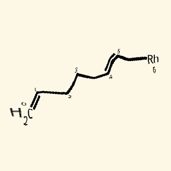 C=CCCC=[CH][Rh]